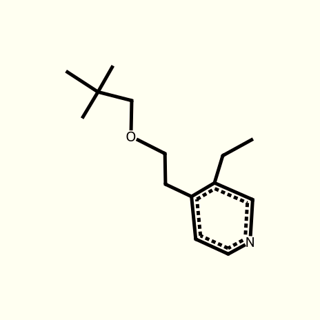 CCc1cnccc1CCOCC(C)(C)C